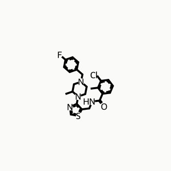 Cc1c(Cl)cccc1C(=O)NCc1scnc1N1CCN(Cc2ccc(F)cc2)CC1C